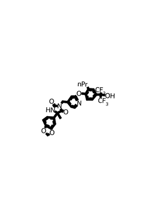 CCCc1cc(C(O)(C(F)(F)F)C(F)(F)F)ccc1Oc1cc(CN2C(=O)NC(C)(c3ccc4c(c3)OCO4)C2=O)ccn1